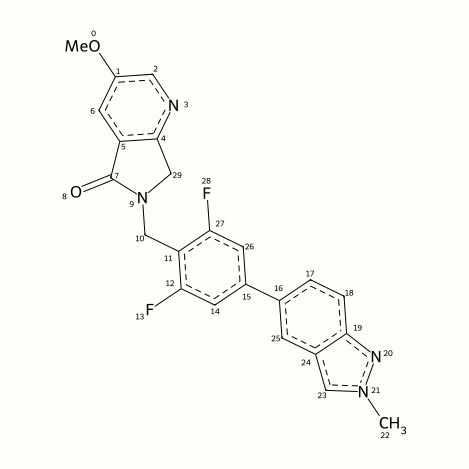 COc1cnc2c(c1)C(=O)N(Cc1c(F)cc(-c3ccc4nn(C)cc4c3)cc1F)C2